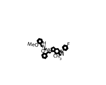 COc1ccccc1CNC(=O)NC(C[C@H]1CCC2=C1[C@@H](C)c1cnn(-c3ccc(F)cc3)c1C2)c1ccccc1